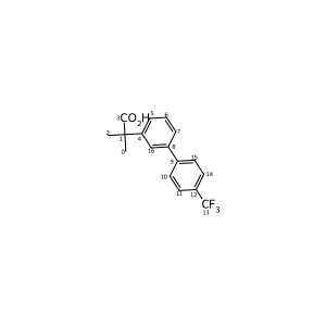 CC(C)(C(=O)O)c1cccc(-c2ccc(C(F)(F)F)cc2)c1